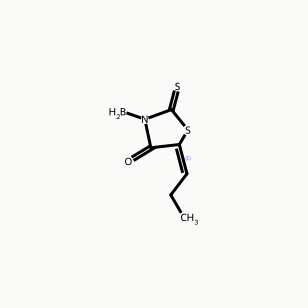 BN1C(=O)/C(=C\CC)SC1=S